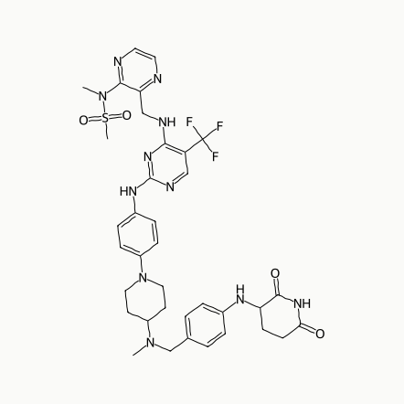 CN(Cc1ccc(NC2CCC(=O)NC2=O)cc1)C1CCN(c2ccc(Nc3ncc(C(F)(F)F)c(NCc4nccnc4N(C)S(C)(=O)=O)n3)cc2)CC1